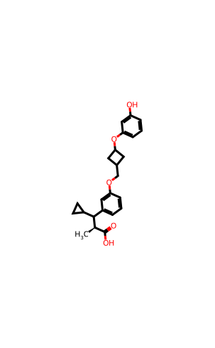 C[C@H](C(=O)O)C(c1cccc(OCC2CC(Oc3cccc(O)c3)C2)c1)C1CC1